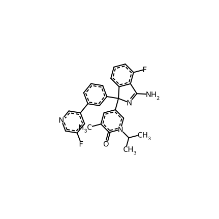 Cc1cc(C2(c3cccc(-c4cncc(F)c4)c3)N=C(N)c3c(F)cccc32)cn(C(C)C)c1=O